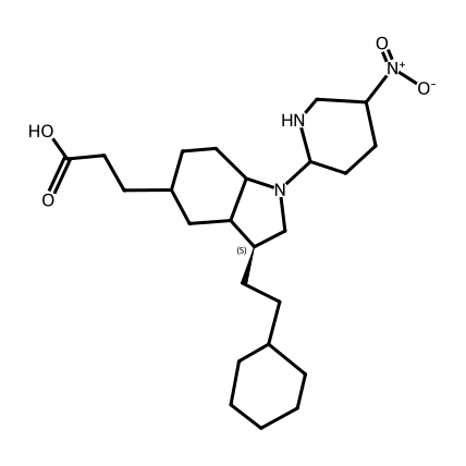 O=C(O)CCC1CCC2C(C1)[C@H](CCC1CCCCC1)CN2C1CCC([N+](=O)[O-])CN1